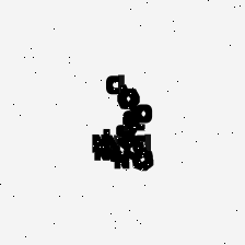 Cc1nnc2n1-c1sc(C(C)OC(=O)c3ccc(Cl)cc3)cc1C(c1ccccc1Cl)=NC2